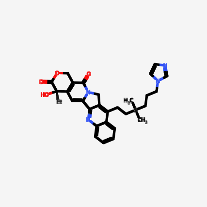 CC[C@@]1(O)C(=O)OCc2c1cc1n(c2=O)Cc2c-1nc1ccccc1c2CC[Si](C)(C)CCCn1ccnc1